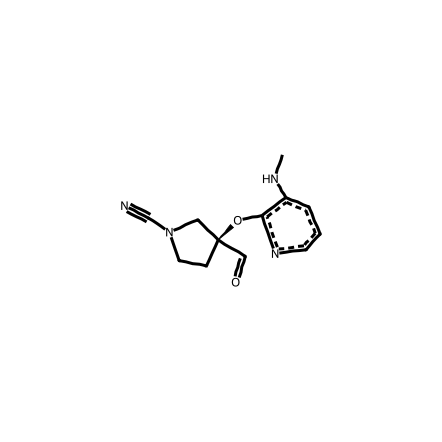 CNc1cccnc1O[C@@]1(C=O)CCN(C#N)C1